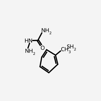 Cc1ccccc1.NNC(N)=O.S